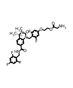 C[C@H]1c2ccc(C(=O)NCc3c(F)cc(F)cc3F)cc2N(Cc2c(F)cc(OCCOC(=O)CN)cc2F)C(=O)N1C